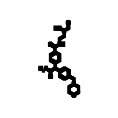 CC(=O)C(c1ccc(CN2CCOCC2)cc1)c1ccc(C(=O)NCCN(O)C=O)cc1